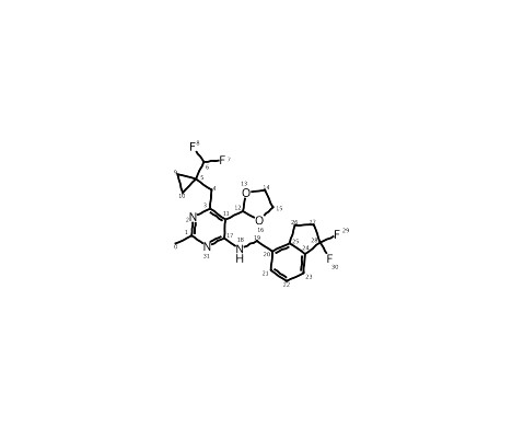 Cc1nc(CC2(C(F)F)CC2)c(C2OCCO2)c(NCc2cccc3c2CCC3(F)F)n1